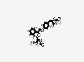 CCc1oc(=O)oc1COC(COc1ccc(CC2SC(=O)NC2=O)cc1)C1C=CC=CC1F